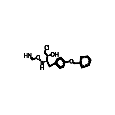 N=COB[C@@H](Cc1ccc(OCc2ccccc2)cc1)[C@H](O)CCl